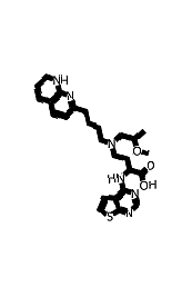 COC(C)CN(CCCCc1ccc2c(n1)NCCC2)CCC(Nc1ncnc2sccc12)C(=O)O